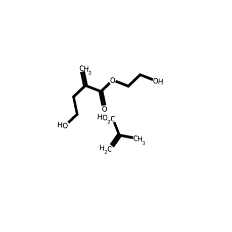 C=C(C)C(=O)O.C=C(CCO)C(=O)OCCO